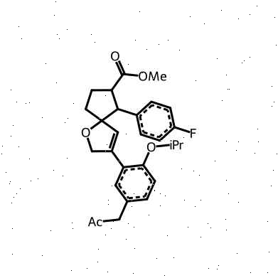 COC(=O)C1CCC2(C=C(c3cc(CC(C)=O)ccc3OC(C)C)CO2)C1c1ccc(F)cc1